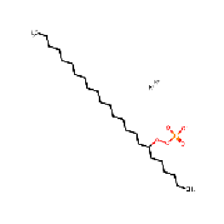 CCCCCCCCCCCCCCCCCC(CCCCCC)OOP(=O)([O-])[O-].[K+].[K+]